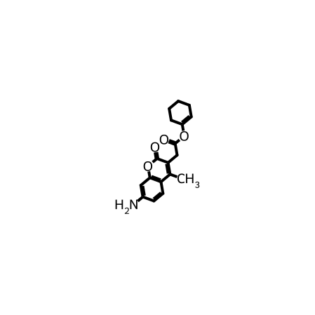 Cc1c(CC(=O)OC2=CCCCC2)c(=O)oc2cc(N)ccc12